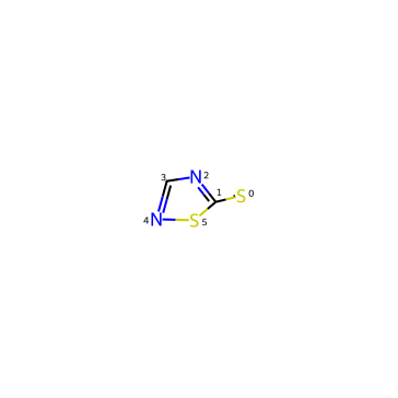 [S]c1ncns1